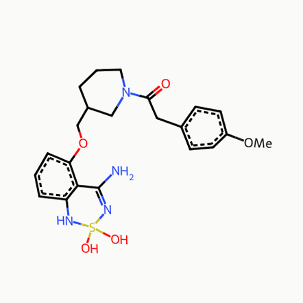 COc1ccc(CC(=O)N2CCCC(COc3cccc4c3C(N)=NS(O)(O)N4)C2)cc1